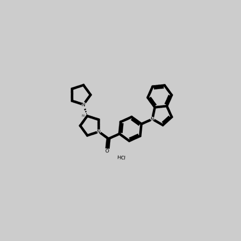 Cl.O=C(c1ccc(-n2ccc3ccccc32)cc1)N1CC[C@H](N2CCCC2)C1